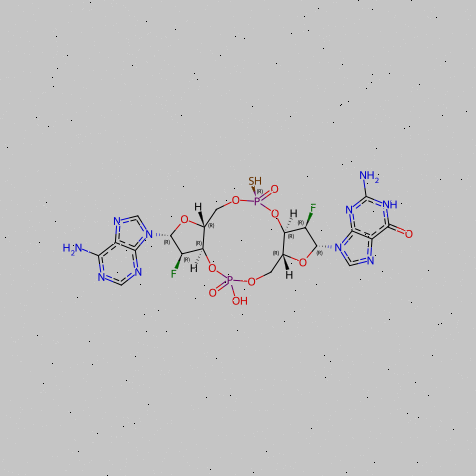 Nc1nc2c(ncn2[C@@H]2O[C@@H]3COP(=O)(O)O[C@H]4[C@@H](F)[C@H](n5cnc6c(N)ncnc65)O[C@@H]4CO[P@@](=O)(S)O[C@H]3[C@H]2F)c(=O)[nH]1